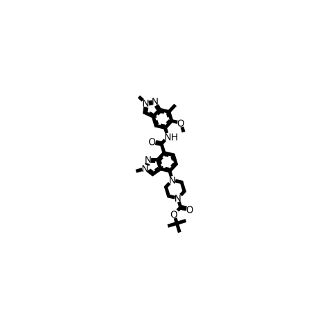 COc1c(NC(=O)c2ccc(N3CCN(C(=O)OC(C)(C)C)CC3)c3cn(C)nc23)cc2cn(C)nc2c1C